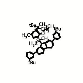 C=CCOc1c([Si](C)(C)C2c3cc(-c4cccc(C(C)(C)C)c4)ccc3-c3ccc(-c4cccc(C(C)(C)C)c4)cc32)cc(C)cc1[Si](C)(C)C(C)(C)C